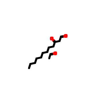 CC=O.CCCCCCCCCC(=O)CC=O